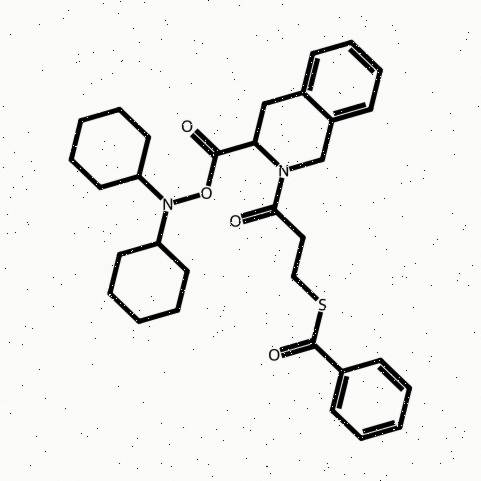 O=C(SCCC(=O)N1Cc2ccccc2CC1C(=O)ON(C1CCCCC1)C1CCCCC1)c1ccccc1